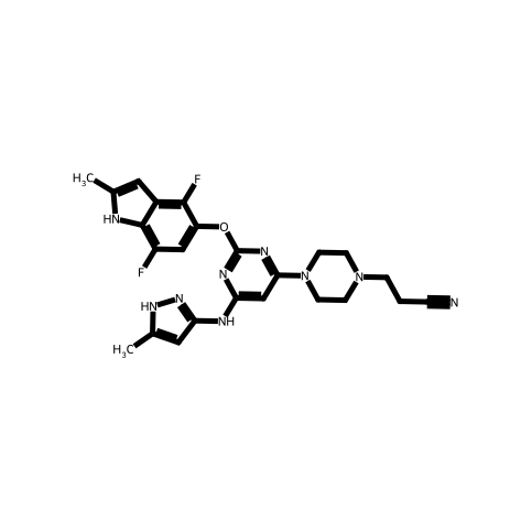 Cc1cc(Nc2cc(N3CCN(CCC#N)CC3)nc(Oc3cc(F)c4[nH]c(C)cc4c3F)n2)n[nH]1